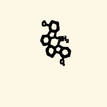 COc1cccc2c1-c1ccccc1C2[SiH2]C1c2ccccc2-c2c(OC)cccc21